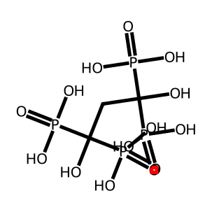 O=P(O)(O)C(O)(CC(O)(P(=O)(O)O)P(=O)(O)O)P(=O)(O)O